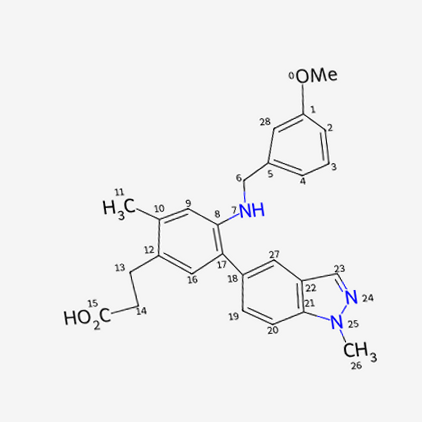 COc1cccc(CNc2cc(C)c(CCC(=O)O)cc2-c2ccc3c(cnn3C)c2)c1